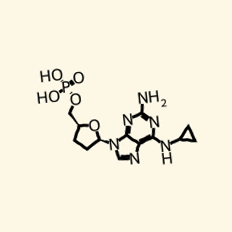 Nc1nc(NC2CC2)c2ncn([C@H]3CC[C@@H](COP(=O)(O)O)O3)c2n1